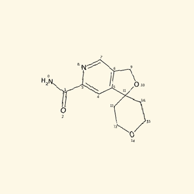 NC(=O)c1cc2c(cn1)COC21CCOCC1